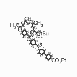 CCOC(=O)c1ccc(-c2ccc(OC(=O)c3ccc(OC(=O)c4ccc(OC(C)COC(C)COC(C)COC(=O)C(CC(C)(C)C)C(C)(C)C)cc4)cc3)cc2)cc1